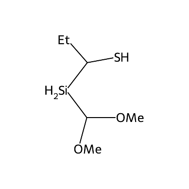 CCC(S)[SiH2]C(OC)OC